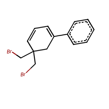 BrCC1(CBr)C=CC=C(c2ccccc2)C1